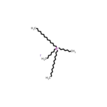 CCCCCCCCCCCCCC[P+](CCCCCCC)(CCCCCCC)CCCCCCCCCCCCCC.[I-]